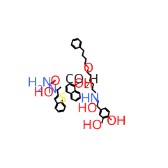 CC(c1cc2ccccc2s1)N(O)C(N)=O.O=C(O)c1ccc2ccccc2c1O.OCc1cc(C(O)CNCCCCCCOCCCCc2ccccc2)ccc1O